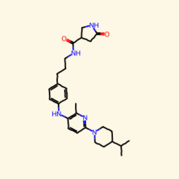 Cc1nc(N2CCC(C(C)C)CC2)ccc1Nc1ccc(CCCNC(=O)C2CNC(=O)C2)cc1